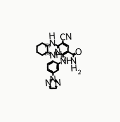 N#Cc1cc(C(N)=O)c(Nc2cccc(-n3nccn3)c2)nc1N[C@@H]1CCCC[C@@H]1N